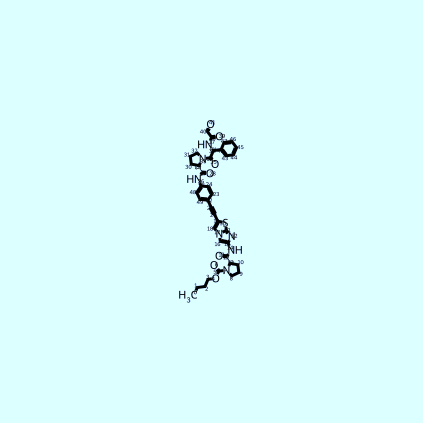 CCCCOC(=O)N1CCC[C@H]1C(=O)Nc1cn2cc(C#Cc3ccc(NC(=O)[C@@H]4CCCN4C(=O)[C@H](NC(=O)C=O)c4ccccc4)cc3)sc2n1